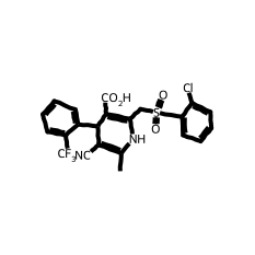 CC1=C(C#N)C(c2ccccc2C(F)(F)F)C(C(=O)O)=C(CS(=O)(=O)c2ccccc2Cl)N1